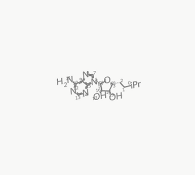 CC(C)CC[C@H]1O[C@@H](n2cnc3c(N)ncnc32)C(O)C1O